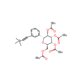 CC(C)(C)C(=O)OC[C@H]1O[C@H](c2cccc(C#C[Si](C)(C)C)c2)[C@@H](OC(=O)C(C)(C)C)[C@H](OC(=O)C(C)(C)C)[C@@H]1OC(=O)C(C)(C)C